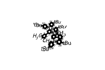 Cc1cc(C)cc(-c2cc3c4c(c2)N(c2ccc(N(c5ccc(C(C)(C)C)cc5)c5ccc(C(C)(C)C)cc5)c5c2C(C)(C)c2ccccc2-5)c2ccc(C(C)(C)C)cc2B4c2cc(C(C)(C)C)ccc2N3c2ccc(C(C)(C)C)cc2)c1